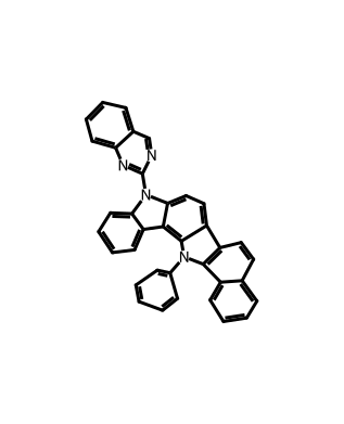 c1ccc(-n2c3c4ccccc4ccc3c3ccc4c(c5ccccc5n4-c4ncc5ccccc5n4)c32)cc1